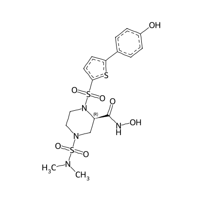 CN(C)S(=O)(=O)N1CCN(S(=O)(=O)c2ccc(-c3ccc(O)cc3)s2)[C@@H](C(=O)NO)C1